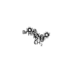 C=CCN1N=C(NC(=O)c2cccc(Br)c2)SC=C1C1=COC=C(C2=CC=CCC2)O1